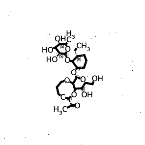 CC[C@@H]1CCC[C@@H](O[C@@H]2OC(CO)[C@H](O)C3O[C@@H](C(C)=O)CCCCOC32)C1O[C@@H]1OC(C)[C@@H](O)C(O)[C@@H]1O